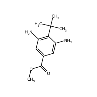 COC(=O)c1cc(N)c(C(C)(C)C)c(N)c1